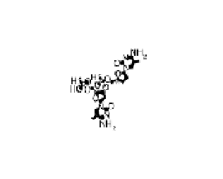 Cc1cn([C@H]2CC[C@@H](COP(=O)(S)O[C@@H]3C[C@H](n4cc(C)c(N)nc4=O)O[C@@H]3COP(=O)(O)S)O2)c(=O)nc1N